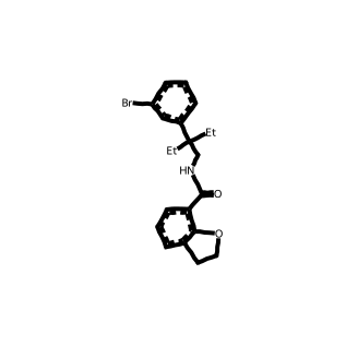 CCC(CC)(CNC(=O)c1cccc2c1OCC2)c1cccc(Br)c1